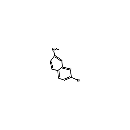 CCc1ccc2ccc(NC)cc2n1